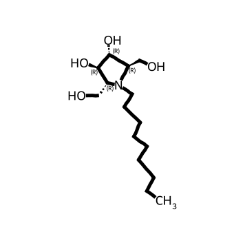 CCCCCCCCCN1[C@H](CO)[C@@H](O)[C@H](O)[C@H]1CO